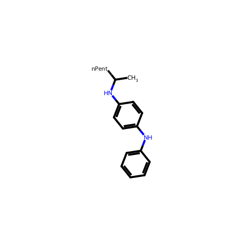 CCCCCC(C)Nc1ccc(Nc2ccccc2)cc1